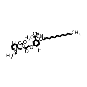 CCCCCCCCCCCCOc1ccc(OCC(=O)N(Cc2cccc[n+]2CC)C(C)=O)cc1C(C)(C)C.[I-]